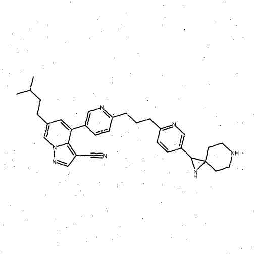 CC(C)CCc1cc(-c2ccc(CCCc3ccc(C4NC45CCNCC5)cn3)nc2)c2c(C#N)cnn2c1